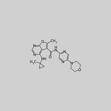 Cc1oc2ncnc(NC3(C)CC3)c2c1C(=O)Nc1cnc(N2CCOCC2)cn1